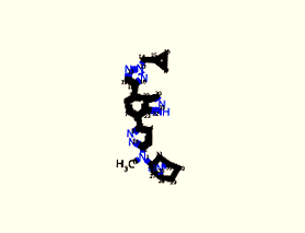 CN(c1ccc(-c2ccc(-c3cnn(CC4CC4)n3)c3cn[nH]c23)nn1)C1CC2CCC(C1)N2